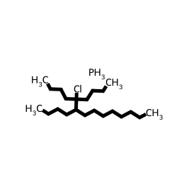 CCCCCCCCC(CCCC)C(Cl)(CCCC)CCCC.P